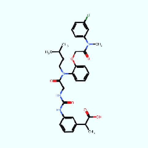 CC(C)CCN(C(=O)CNC(=O)Nc1cccc(C(C)C(=O)O)c1)c1ccccc1OCC(=O)N(C)c1cccc(Cl)c1